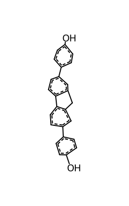 Oc1ccc(-c2ccc3c(c2)Cc2cc(-c4ccc(O)cc4)ccc2-3)cc1